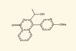 COc1ccc(-c2c(C(C)O)oc(=O)c3ccccc23)cn1